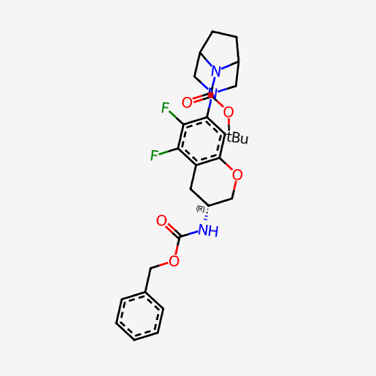 CC(C)(C)OC(=O)N1C2CCC1CN(c1cc3c(c(F)c1F)C[C@@H](NC(=O)OCc1ccccc1)CO3)C2